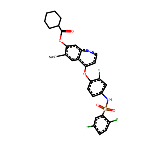 COc1cc2c(Oc3ccc(NS(=O)(=O)c4cc(F)ccc4F)cc3F)ccnc2cc1OC(=O)C1CCCCC1